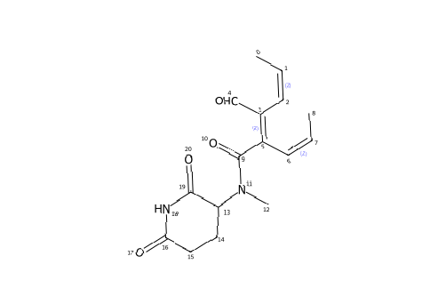 C\C=C/C(C=O)=C(\C=C/C)C(=O)N(C)C1CCC(=O)NC1=O